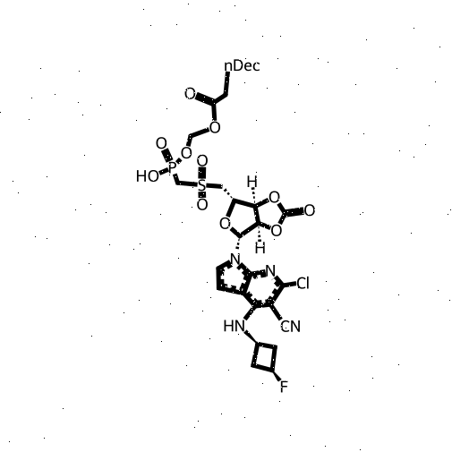 CCCCCCCCCCCC(=O)OCOP(=O)(O)CS(=O)(=O)C[C@H]1O[C@@H](n2ccc3c(N[C@H]4C[C@@H](F)C4)c(C#N)c(Cl)nc32)[C@@H]2OC(=O)O[C@@H]21